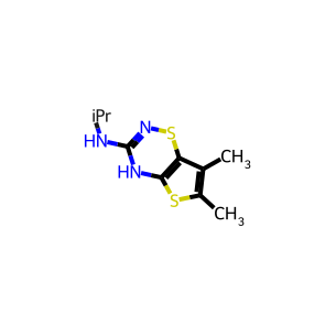 Cc1sc2c(c1C)SN=C(NC(C)C)N2